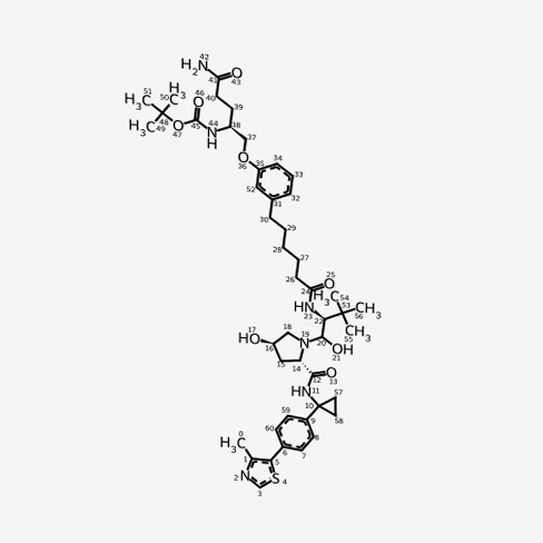 Cc1ncsc1-c1ccc(C2(NC(=O)[C@@H]3C[C@@H](O)CN3C(O)[C@@H](NC(=O)CCCCCc3cccc(OC[C@H](CCC(N)=O)NC(=O)OC(C)(C)C)c3)C(C)(C)C)CC2)cc1